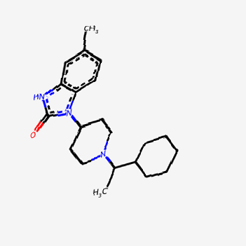 Cc1ccc2c(c1)[nH]c(=O)n2C1CCN(C(C)C2CCCCC2)CC1